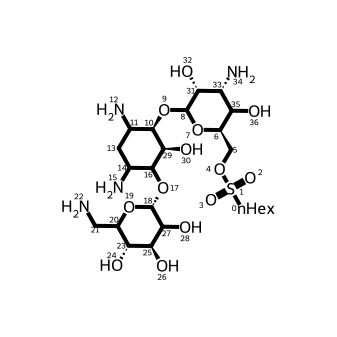 CCCCCCS(=O)(=O)OC[C@H]1OC(O[C@@H]2C(N)CC(N)C(O[C@H]3OC(CN)[C@@H](O)[C@H](O)C3O)[C@@H]2O)[C@H](O)[C@H](N)C1O